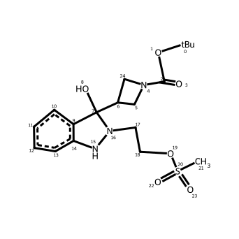 CC(C)(C)OC(=O)N1CC(C2(O)c3ccccc3NN2CCOS(C)(=O)=O)C1